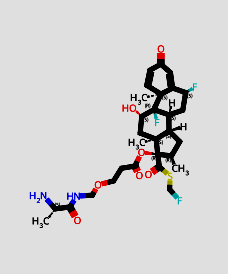 C[C@H](N)C(=O)NCOCCC(=O)O[C@]1(C(=O)SCF)[C@H](C)C[C@H]2[C@@H]3C[C@H](F)C4=CC(=O)C=C[C@]4(C)[C@@]3(F)[C@@H](O)C[C@@]21C